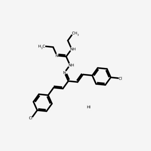 CCN=C(NCC)NN=C(C=Cc1ccc(Cl)cc1)C=Cc1ccc(Cl)cc1.I